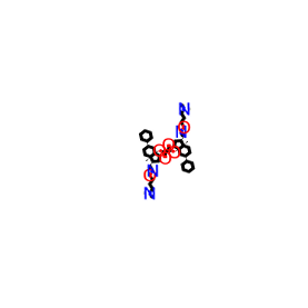 CN(C)CCCON=C[C@H]1CC[C@]2(OC(=O)C(=O)O[C@]34CC[C@H](C=NOCCCN(C)C)[C@@]3(C)CC[C@H](C3CCCCC3)C4)C[C@@H](C3CCCCC3)CC[C@]12C